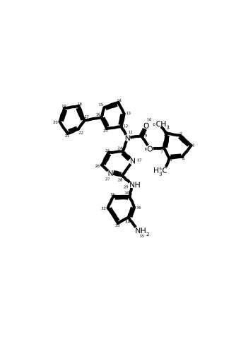 Cc1cccc(C)c1OC(=O)N(c1cccc(-c2ccccc2)c1)c1ccnc(Nc2cccc(N)c2)n1